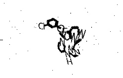 O=C(COc1cccc(Cl)c1)N1CCC[C@@H](Nc2ccnc(-c3cnc4ccc(F)cn34)n2)C1